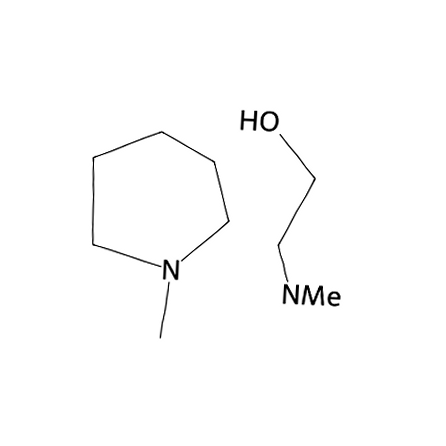 CN1CCCCC1.CNCCO